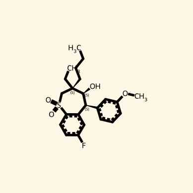 CCCC[C@]1(CC)CS(=O)(=O)c2ccc(F)cc2[C@H](c2cccc(OC)c2)[C@@H]1O